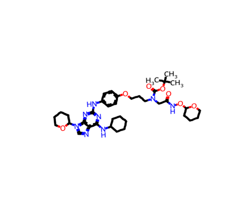 CC(C)(C)OC(=O)N(CCCOc1ccc(Nc2nc(NC3CCCCC3)c3ncn(C4CCCCO4)c3n2)cc1)CC(=O)NOC1CCCCO1